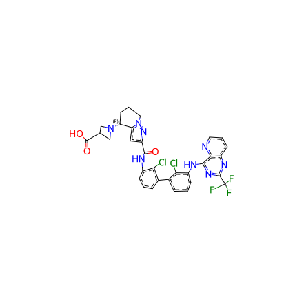 O=C(Nc1cccc(-c2cccc(Nc3nc(C(F)(F)F)nc4cccnc34)c2Cl)c1Cl)c1cc2n(n1)CCC[C@H]2N1CC(C(=O)O)C1